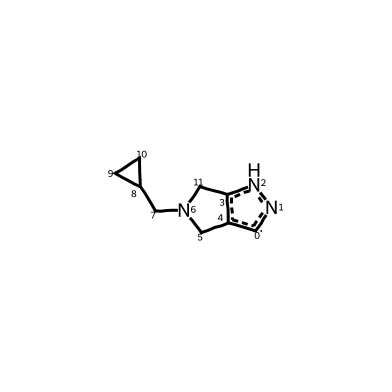 [c]1n[nH]c2c1CN(CC1CC1)C2